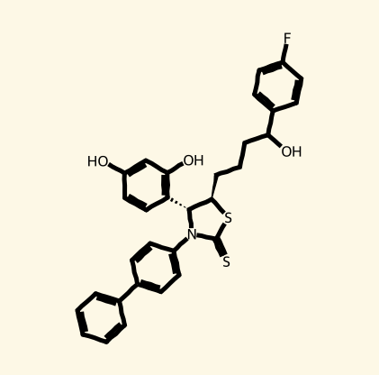 Oc1ccc([C@@H]2[C@@H](CCCC(O)c3ccc(F)cc3)SC(=S)N2c2ccc(-c3ccccc3)cc2)c(O)c1